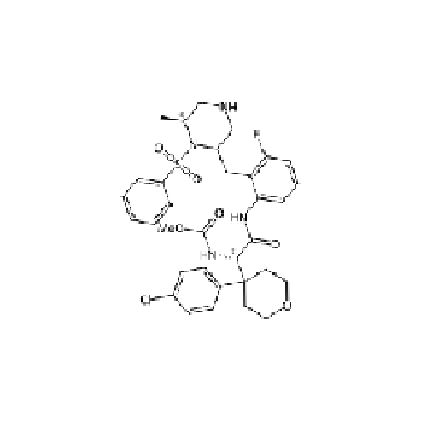 COC(=O)N[C@H](C(=O)Nc1cccc(F)c1CC1CNC[C@H](C)N1S(=O)(=O)c1ccccc1)C1(c2ccc(Cl)cc2)CCOCC1